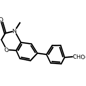 CN1C(=O)COc2ccc(-c3ccc([C]=O)cc3)cc21